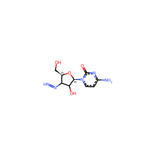 N=NC1C(O)[C@H](n2ccc(N)nc2=O)O[C@@H]1CO